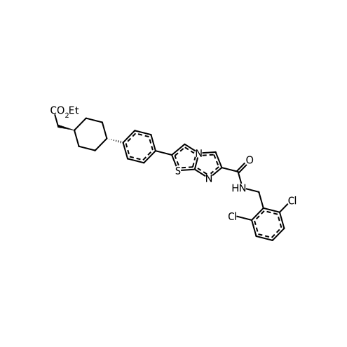 CCOC(=O)C[C@H]1CC[C@H](c2ccc(-c3cn4cc(C(=O)NCc5c(Cl)cccc5Cl)nc4s3)cc2)CC1